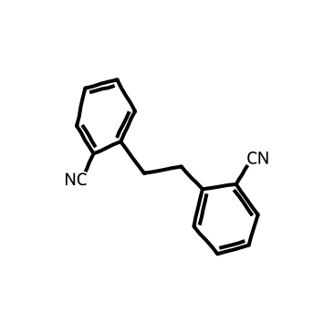 N#Cc1ccccc1CCc1ccccc1C#N